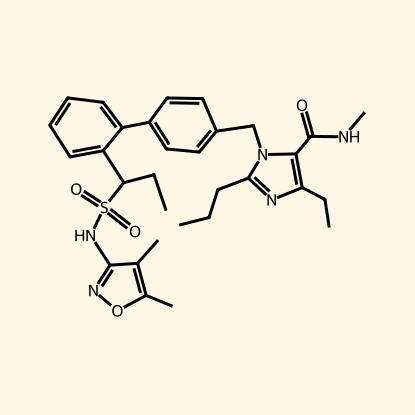 CCCc1nc(CC)c(C(=O)NC)n1Cc1ccc(-c2ccccc2C(CC)S(=O)(=O)Nc2noc(C)c2C)cc1